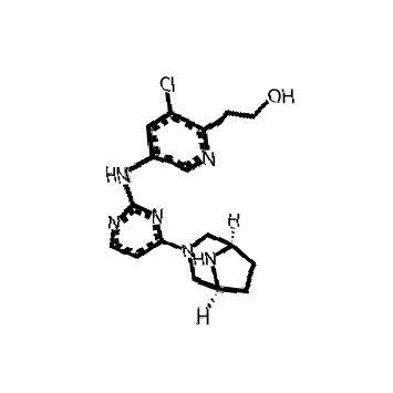 OCCc1ncc(Nc2nccc(N3C[C@H]4CC[C@@H](C3)N4)n2)cc1Cl